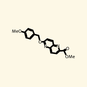 COC(=O)c1ccc2nc(OCc3ccc(OC)cc3)ccc2n1